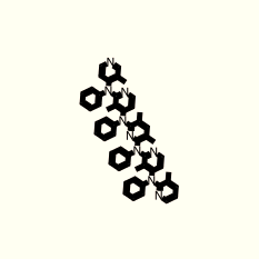 Cc1cnccc1N(c1ccccc1)c1nccc(N(c2ccccc2)c2nc(N(c3ccccc3)c3nccc(N(c4ccccc4)c4ncccc4C)c3C)c(C)cc2C)c1C